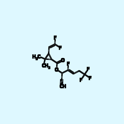 C#CC(OC(=O)C1C(C=C(F)F)C1(C)C)C(F)=CCC(F)(F)F